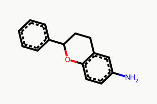 Nc1ccc2c(c1)CCC(c1ccccc1)O2